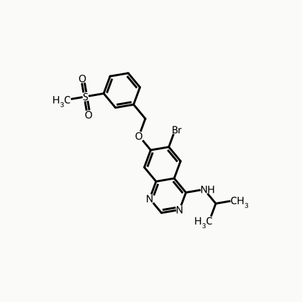 CC(C)Nc1ncnc2cc(OCc3cccc(S(C)(=O)=O)c3)c(Br)cc12